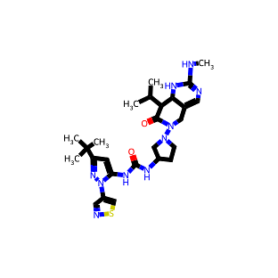 CNC1=NC=C2CN(N3CCC(NC(=O)Nc4cc(C(C)(C)C)nn4-c4cnsc4)C3)C(=O)C(C(C)C)C2N1